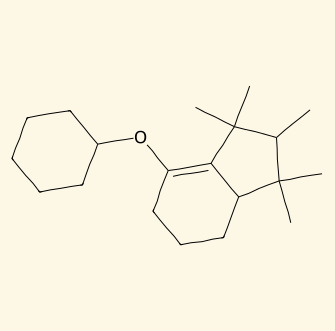 CC1C(C)(C)C2=C(OC3CCCCC3)CCCC2C1(C)C